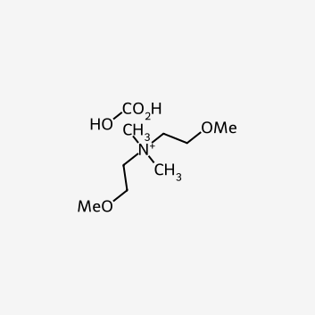 COCC[N+](C)(C)CCOC.O=C(O)O